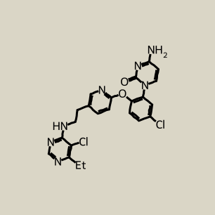 CCc1ncnc(NCCc2ccc(Oc3ccc(Cl)cc3-n3ccc(N)nc3=O)nc2)c1Cl